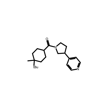 CC(C)(C)C1(C)CCC(C(=O)N2CCC(c3ccncc3)C2)CC1